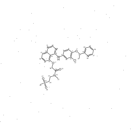 CC(Oc1ccc(Nc2ncnc3cccc(OCC(=O)N(C)CCS(C)(=O)=O)c23)cc1Cl)c1ccccn1